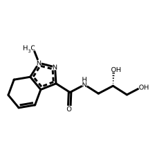 Cn1nc(C(=O)NC[C@H](O)CO)c2c1CCC=C2